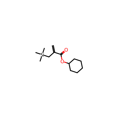 C=C(C[Si](C)(C)C)C(=O)OC1CCCCC1